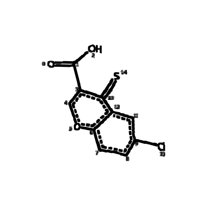 O=C(O)c1coc2ccc(Cl)cc2c1=S